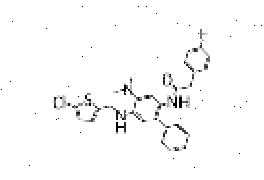 CN(C)c1cc(NC(=O)Cc2ccc(F)cc2)c(-c2ccccc2)cc1NCc1ccc(Cl)s1